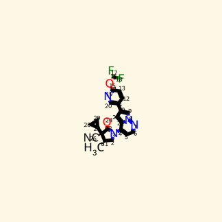 C[C@@H]1CN(c2ccnn3cc(-c4ccc(OC(F)F)nc4)cc23)C(=O)[C@]1(C#N)C1CC1